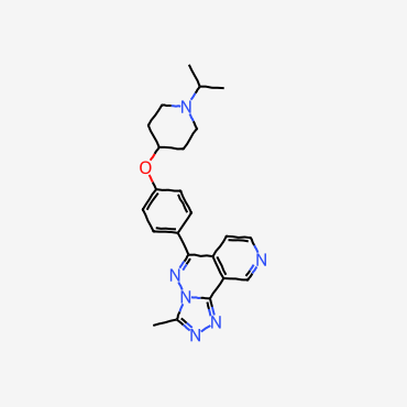 Cc1nnc2c3cnccc3c(-c3ccc(OC4CCN(C(C)C)CC4)cc3)nn12